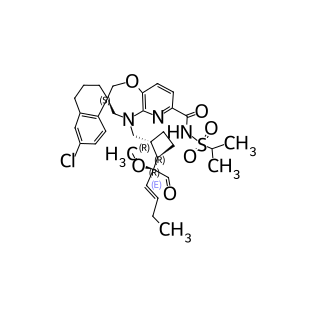 CC/C=C/[C@](C=O)(OC)[C@@H]1CC[C@H]1CN1C[C@@]2(CCCc3cc(Cl)ccc32)COc2ccc(C(=O)NS(=O)(=O)C(C)C)nc21